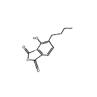 CCCCc1ccc2c(c1O)C(=O)OC2=O